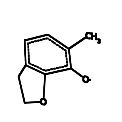 Cc1ccc2c(c1[O])OCC2